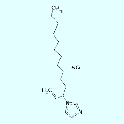 C=CC(CCCCCCCCCCC)n1ccnc1.Cl